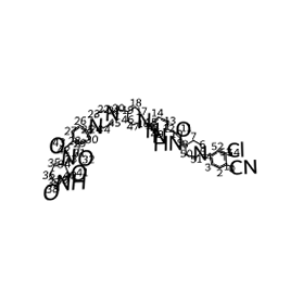 N#Cc1ccc(N2CCC(NC(=O)c3ccc(N4CCC(CN5CCN(c6ccc7c(c6)C(=O)N(C6CCC(=O)NC6=O)C7=O)CC5)CC4)nn3)CC2)cc1Cl